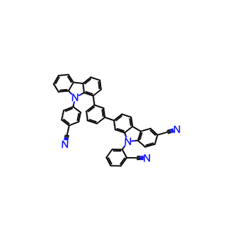 N#Cc1ccc(-n2c3ccccc3c3cccc(-c4cccc(-c5ccc6c7cc(C#N)ccc7n(-c7ccccc7C#N)c6c5)c4)c32)cc1